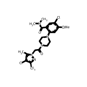 COc1cc(N2CCN(C(=O)Cn3nc(C(F)(F)F)c(Cl)c3C)CC2)c(C(=O)N(C)C)cc1Cl